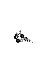 Cc1cc(Nc2ncc3ccc(-c4cccc(Cl)c4)n3n2)ccc1N1CCN(C)CC1